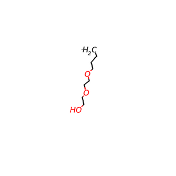 [CH2]CCCOCCOCCO